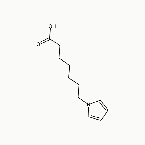 O=C(O)CCCCCCn1cccc1